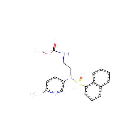 COc1ccc(N(CCNC(=O)OC(C)(C)C)S(=O)(=O)c2cccc3ccccc23)cn1